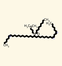 CCCCC/C=C\C/C=C\CCCCCCCCC(CCCCCCCCCCC/C=C\CCCCC)N(CCCN(C)C)C(=O)CCCCCCCC